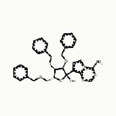 Nc1ncnc2c(C3(O)O[C@H](COCc4ccccc4)[C@@H](OCc4ccccc4)[C@H]3OCc3ccccc3)ccn12